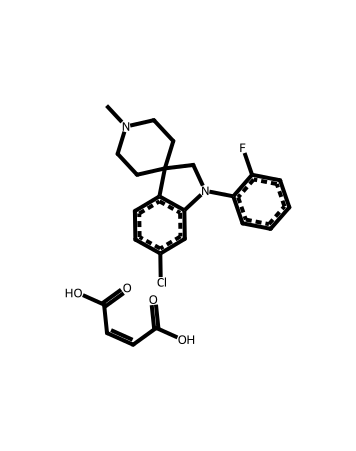 CN1CCC2(CC1)CN(c1ccccc1F)c1cc(Cl)ccc12.O=C(O)/C=C\C(=O)O